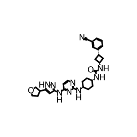 N#Cc1cccc([C@H]2C[C@H](NC(=O)N[C@H]3CC[C@H](Nc4nccc(Nc5cc(C6CCOC6)[nH]n5)n4)CC3)C2)c1